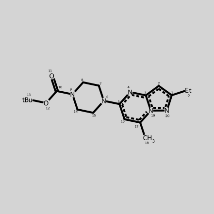 CCc1cc2nc(N3CCN(C(=O)OC(C)(C)C)CC3)cc(C)n2n1